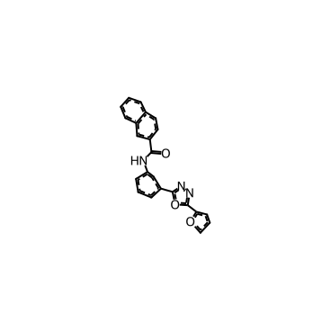 O=C(Nc1cccc(-c2nnc(-c3ccco3)o2)c1)c1ccc2ccccc2c1